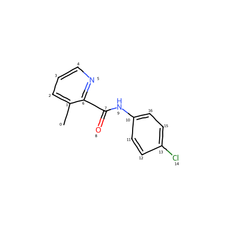 Cc1cccnc1C(=O)Nc1ccc(Cl)cc1